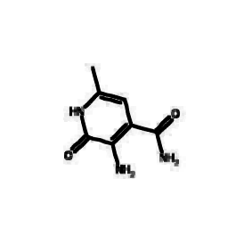 Cc1cc(C(N)=O)c(N)c(=O)[nH]1